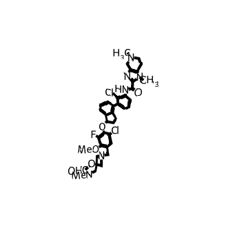 CNCC1(OC=O)CN(Cc2cc(Cl)c(OC3CCc4c(-c5cccc(NC(=O)c6nc7c(n6C)CCN(C)C7)c5Cl)cccc43)c(F)c2OC)C1